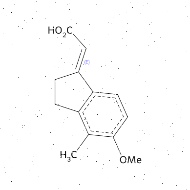 COc1ccc2c(c1C)CC/C2=C\C(=O)O